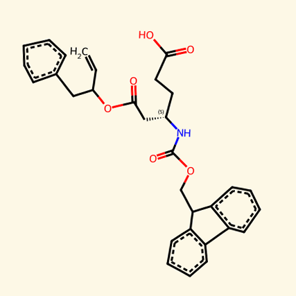 C=CC(Cc1ccccc1)OC(=O)C[C@H](CCC(=O)O)NC(=O)OCC1c2ccccc2-c2ccccc21